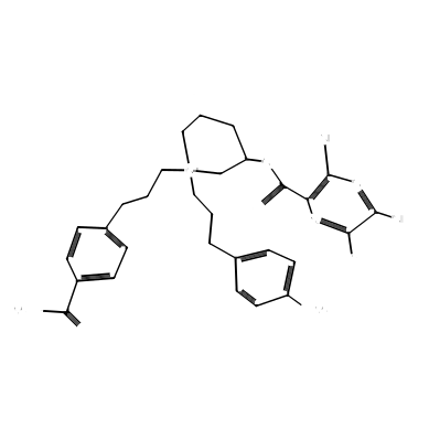 COC(=O)c1ccc(CCC[N+]2(CCCc3ccc(OC)cc3)CCCC(NC(=O)c3nc(Cl)c(N)nc3N)C2)cc1.[Cl-]